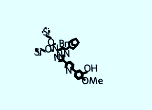 COc1ccc(-c2ccc(-c3cnn4c(N(COCC[Si](C)(C)C)COCC[Si](C)(C)C)c(Br)c(C5CC6CCC(C6)C5)nc34)cn2)cc1CO